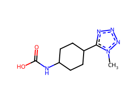 Cn1nnnc1C1CCC(NC(=O)O)CC1